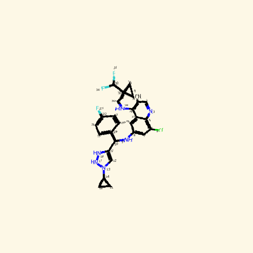 N#Cc1cnc2c(Cl)cc(NC(C3=CN(C4CC4)NN3)c3ccc(F)cc3)cc2c1NCC1(C(F)F)CC1